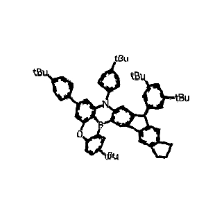 CC(C)(C)c1ccc(-c2cc3c4c(c2)N(c2ccc(C(C)(C)C)cc2)c2cc5c(cc2B4c2cc(C(C)(C)C)ccc2O3)-c2cc3c(cc2C5c2cc(C(C)(C)C)cc(C(C)(C)C)c2)CCC3)cc1